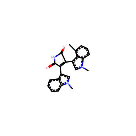 Cc1cccc2c1c(C1=C(c3cn(C)c4ccccc34)C(=O)NC1=O)cn2C